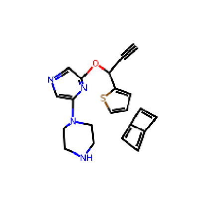 C#CC(Oc1cncc(N2CCNCC2)n1)c1cccs1.c1cc2ccc1-2